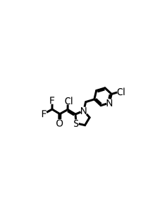 O=C(C(Cl)=C1SCCN1Cc1ccc(Cl)nc1)C(F)F